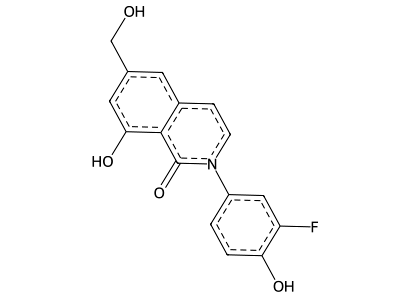 O=c1c2c(O)cc(CO)cc2ccn1-c1ccc(O)c(F)c1